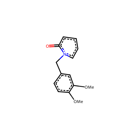 COc1ccc(Cn2ccccc2=O)cc1OC